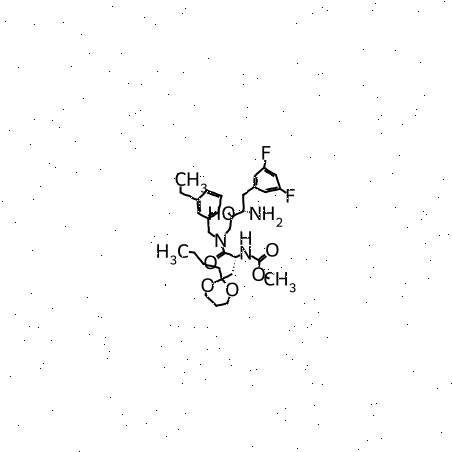 CCCCC1(C[C@@H](NC(=O)OC)C(=O)N(Cc2cccc(CC)c2)C[C@@H](O)[C@@H](N)Cc2cc(F)cc(F)c2)OCCCO1